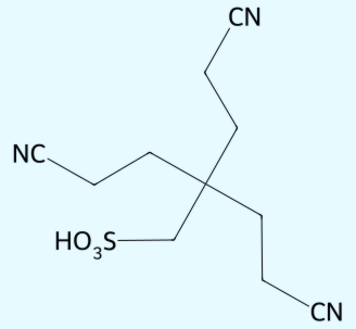 N#CCCC(CCC#N)(CCC#N)CS(=O)(=O)O